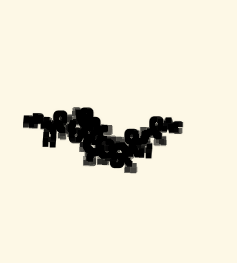 CCCNC(=O)C[C@@H]1C[C@@]2(CO2)[C@H](OC(C)OCC)[C@@H](C=CC(C)=CC[C@@H]2O[C@H](C)[C@H](NC(=O)C=CC(C)OC(C)=O)C[C@@H]2C)O1